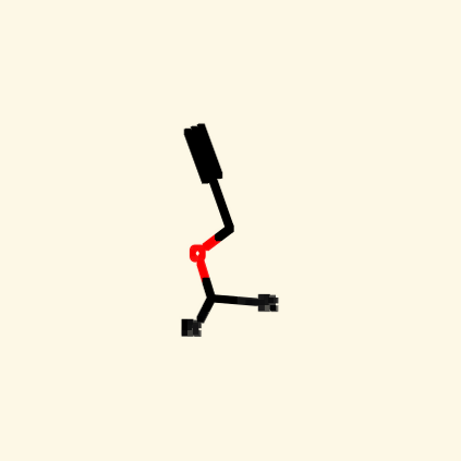 C#CCOC(CC)CC